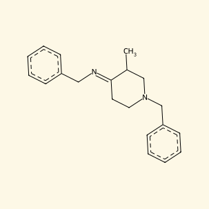 CC1CN(Cc2ccccc2)CC/C1=N\Cc1ccccc1